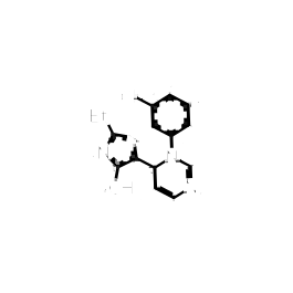 CCc1nc(C)c(C2C=CN=CN2c2cccc(Cl)c2)s1